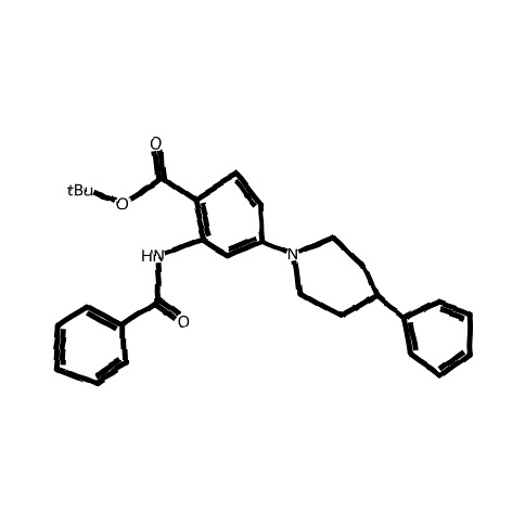 CC(C)(C)OC(=O)c1ccc(N2CCC(c3ccccc3)CC2)cc1NC(=O)c1ccccc1